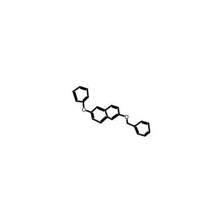 c1ccc(COc2ccc3cc(Oc4ccccc4)ccc3c2)cc1